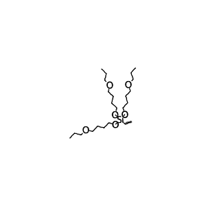 C=C[Si](OCCCCOCCC)(OCCCCOCCC)OCCCCOCCC